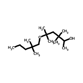 CCCC(C)(C)COC(C)(C)CC(C)(C)C(C)O